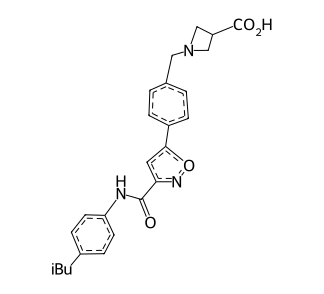 CCC(C)c1ccc(NC(=O)c2cc(-c3ccc(CN4CC(C(=O)O)C4)cc3)on2)cc1